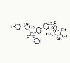 O=C1[C@H](CC[C@H](O)c2ccc(F)cc2)[C@@H](c2ccc(-c3ccc(OS(=O)(=O)CC4O[C@H](CO)[C@@H](O)[C@H](O)[C@H]4O)cc3)cc2O)N1c1ccccc1